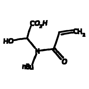 C=CC(=O)N(CCCC)C(O)C(=O)O